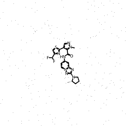 C[C@H]1CCCN1c1nc2cc(NC(=O)c3c(-c4nc(C(F)F)cs4)cnn3C)ccn2n1